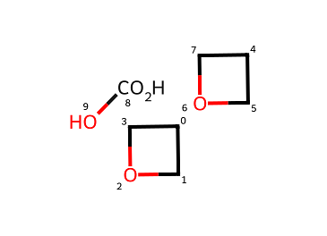 C1COC1.C1COC1.O=C(O)O